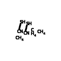 C.C.C.N#CS.N#CS